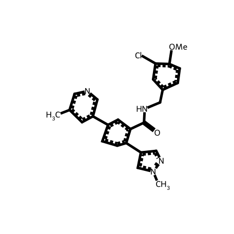 COc1ccc(CNC(=O)c2cc(-c3cncc(C)c3)ccc2-c2cnn(C)c2)cc1Cl